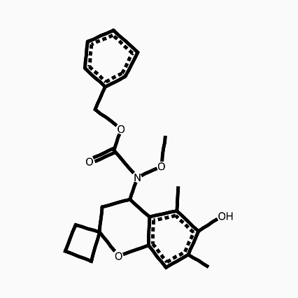 CON(C(=O)OCc1ccccc1)C1CC2(CCC2)Oc2cc(C)c(O)c(C)c21